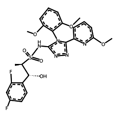 COc1cccc(-c2nnc(NS(=O)(=O)[C@H](C)[C@H](O)c3ccc(F)cc3F)n2-c2c(OC)cccc2OC)n1